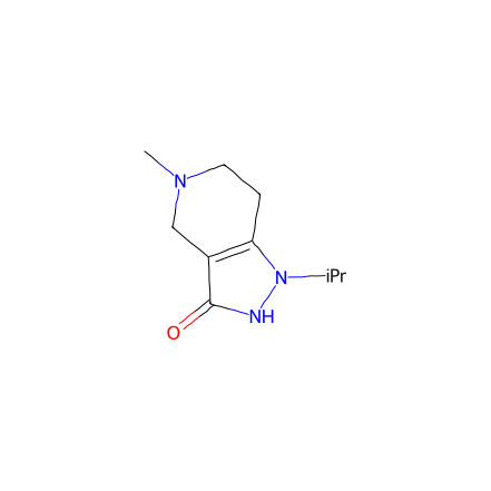 CC(C)n1[nH]c(=O)c2c1CCN(C)C2